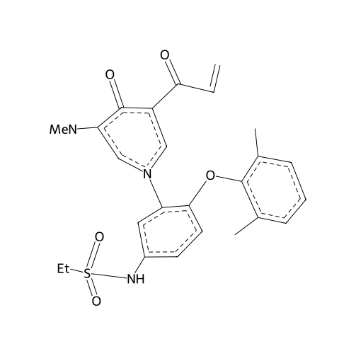 C=CC(=O)c1cn(-c2cc(NS(=O)(=O)CC)ccc2Oc2c(C)cccc2C)cc(NC)c1=O